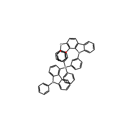 c1ccc(-n2c3ccccc3c3c([Si](c4ccccc4)(c4ccccc4)c4cccc(-n5c6ccccc6c6ccc7oc8ccccc8c7c65)c4)cccc32)cc1